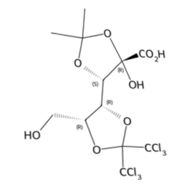 CC1(C)O[C@@H]([C@@H]2OC(C(Cl)(Cl)Cl)(C(Cl)(Cl)Cl)O[C@@H]2CO)[C@](O)(C(=O)O)O1